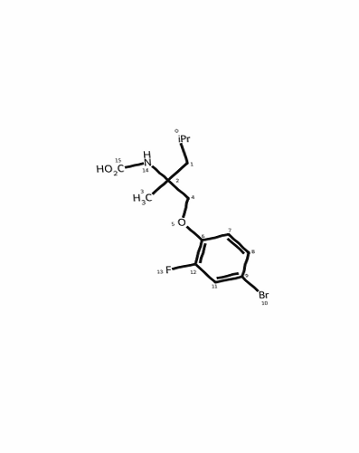 CC(C)CC(C)(COc1ccc(Br)cc1F)NC(=O)O